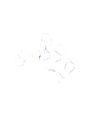 CC(O)CN1CC2CCC(C1)N2c1nc(OC[C@@H]2[C@@H](F)CCN2C)nc2c(F)c(-c3ncc(F)c4sc(N)c(C#N)c34)c3c(c12)COC3